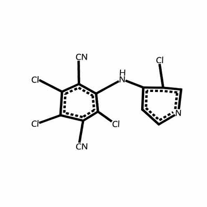 N#Cc1c(Cl)c(Cl)c(C#N)c(Nc2ccncc2Cl)c1Cl